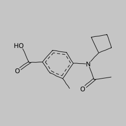 CC(=O)N(c1ccc(C(=O)O)cc1C)C1CCC1